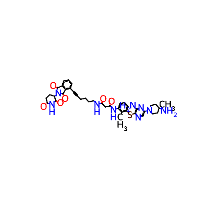 Cc1c(NC(=O)CC(=O)NCCCCC#Cc2cccc3c2C(=O)N(C2CCC(=O)NC2=O)C3=O)cccc1Sc1ncc(N2CCC(C)(N)CC2)nc1N